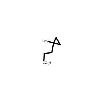 O=C(O)CCC1(O)CC1